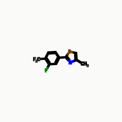 Cc1csc(-c2ccc(C(F)(F)F)c(F)c2)n1